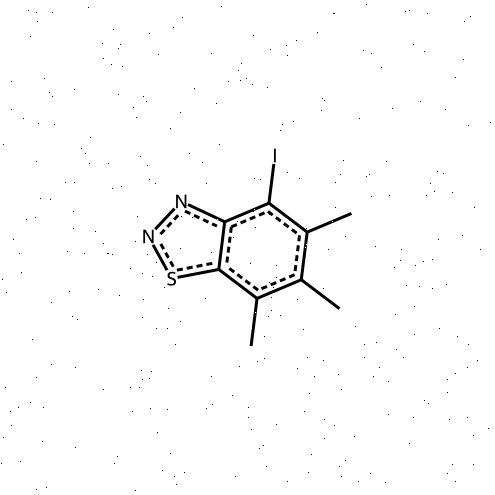 Cc1c(C)c(C)c2snnc2c1I